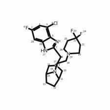 Fc1cc(Cl)c2nc(CN3CC4CCC(C3)N4CCN3CCC(F)(F)CC3)[nH]c2c1